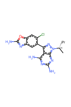 CC(C)[C@H](C)n1nc(-c2cc3nc(N)oc3cc2Cl)c2c(N)nc(N)nc21